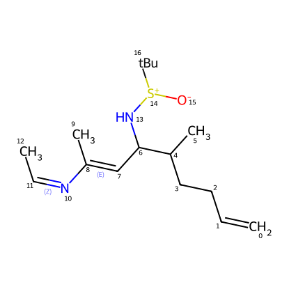 C=CCCC(C)C(/C=C(C)/N=C\C)N[S+]([O-])C(C)(C)C